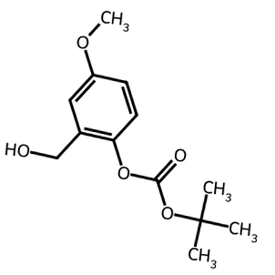 COc1ccc(OC(=O)OC(C)(C)C)c(CO)c1